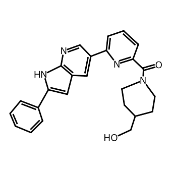 O=C(c1cccc(-c2cnc3[nH]c(-c4ccccc4)cc3c2)n1)N1CCC(CO)CC1